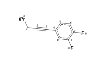 CC(C)CC#Cc1ccc(F)c(F)c1